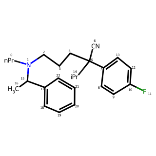 CCCN(CCCC(C#N)(c1ccc(F)cc1)C(C)C)C(C)c1ccccc1